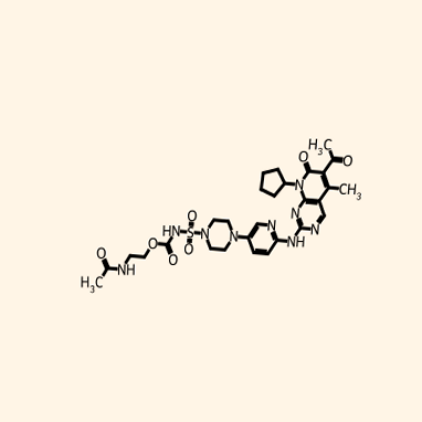 CC(=O)NCCOC(=O)NS(=O)(=O)N1CCN(c2ccc(Nc3ncc4c(C)c(C(C)=O)c(=O)n(C5CCCC5)c4n3)nc2)CC1